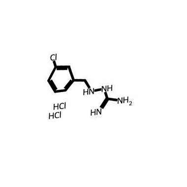 Cl.Cl.N=C(N)NNCc1cccc(Cl)c1